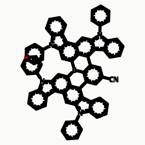 N#Cc1cc2c3c(c1)-c1c4c(cc5c(c4cc4c1c1ccccc1n4-c1ccccc1)c1ccccc1n5-c1ccccc1)B3c1cc3c(c4cc5c(c-2c14)c1ccccc1n5-c1ccccc1)c1ccccc1n3-c1ccccc1